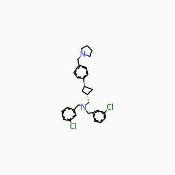 Clc1cccc(CN(Cc2cccc(Cl)c2)C[C@H]2C[C@H](c3ccc(CN4CCCC4)cc3)C2)c1